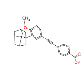 COc1ccc(C#Cc2ccc(C(=O)O)cc2)cc1C12CC3CC(CC(C3)C1)C2